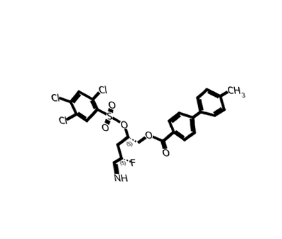 Cc1ccc(-c2ccc(C(=O)OC[C@H](C[C@H](F)C=N)OS(=O)(=O)c3cc(Cl)c(Cl)cc3Cl)cc2)cc1